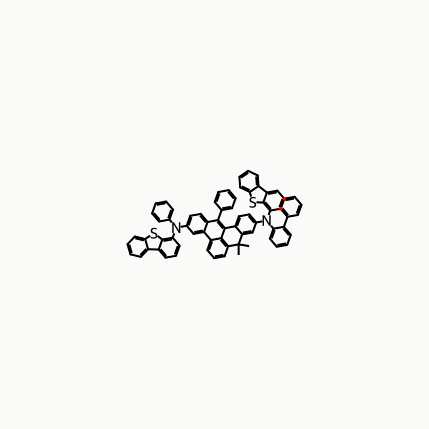 CC1(C)c2cc(N(c3ccccc3-c3ccccc3)c3cccc4c3sc3ccccc34)ccc2-c2c(-c3ccccc3)c3ccc(N(c4ccccc4)c4cccc5c4sc4ccccc45)cc3c3cccc1c23